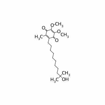 COC1=C(OC)C(=O)C(CCCCCCCCCC(C)(C)O)=C(C)C1=O